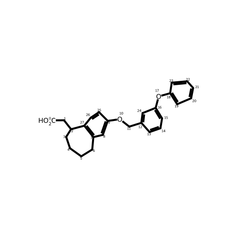 O=C(O)CC1CCCCc2cc(OCc3cccc(Oc4ccccc4)c3)ccc21